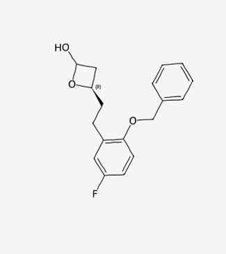 OC1C[C@@H](CCc2cc(F)ccc2OCc2ccccc2)O1